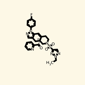 CCn1ncc(S(=O)(=O)N2CCC3=Cc4c(cnn4-c4ccc(F)cc4)C[C@]3(C(=O)c3ccccn3)C2)n1